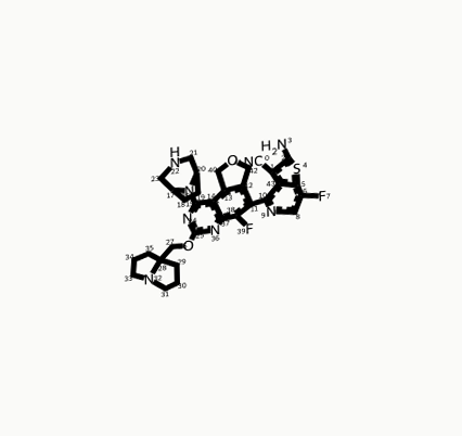 N#Cc1c(N)sc2c(F)cnc(-c3c4c(c5c(N6C7CCC6CNC7)nc(OCC67CCCN6CCC7)nc5c3F)COC4)c12